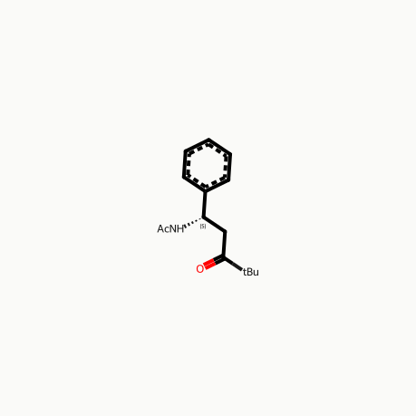 CC(=O)N[C@@H](CC(=O)C(C)(C)C)c1ccccc1